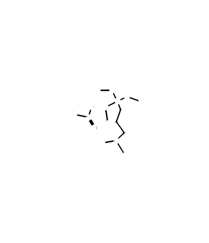 CO[Si](CCCN(C)C)(OC)OC.N=[N+](O)O